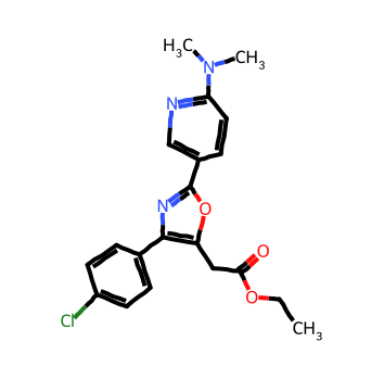 CCOC(=O)Cc1oc(-c2ccc(N(C)C)nc2)nc1-c1ccc(Cl)cc1